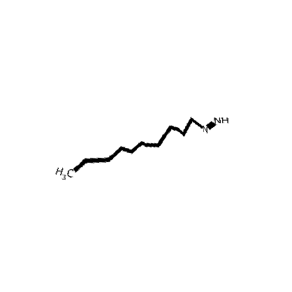 CCCCCCCCCCN=N